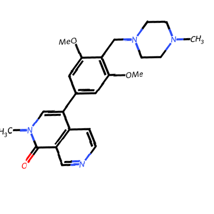 COc1cc(-c2cn(C)c(=O)c3cnccc23)cc(OC)c1CN1CCN(C)CC1